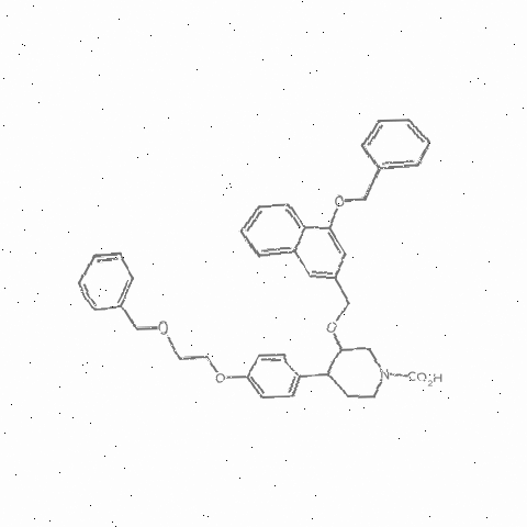 O=C(O)N1CCC(c2ccc(OCCOCc3ccccc3)cc2)C(OCc2cc(OCc3ccccc3)c3ccccc3c2)C1